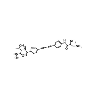 C[C@@H](O)[C@H](NC(=O)c1ccc(C#CC#Cc2ccc(NC(=O)[C@@H](N)CN)cc2)cc1)C(=O)NO